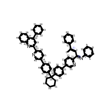 C/C(=C\C(=N/c1ccccc1)c1ccc(-c2ccc(C3(c4ccc(-c5ccc(-c6cc(-c7ccccc7)c7ccccc7n6)nc5)cc4)CCCCC3)cc2)cn1)c1ccccc1